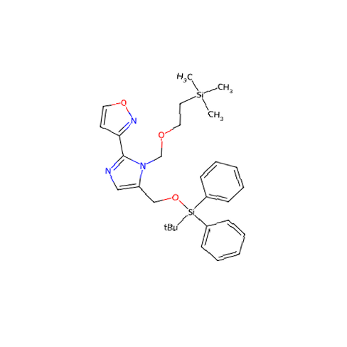 CC(C)(C)[Si](OCc1cnc(-c2ccon2)n1COCC[Si](C)(C)C)(c1ccccc1)c1ccccc1